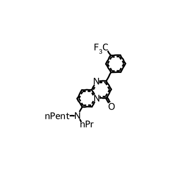 CCCCCN(CCC)c1ccc2nc(-c3cccc(C(F)(F)F)c3)cc(=O)n2c1